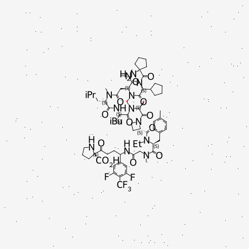 CC[C@H](C)[C@H](NC(=O)[C@H](CC(C)C)N(C)C(=O)C[C@@H](C(=O)N(C)C)N(C)C(=O)[C@H](C1CCCC1)N(C)C(=O)C1(N)CCCC1)C(=O)N(C)[C@@H](C)C(=O)N1CC[C@H]1C(=O)N(CC)[C@@H](Cc1ccc(C)cc1)C(=O)N(C)CC(=O)NC(CCC(=O)[C@]1(C(=O)O)CCCN1)c1cc(F)c(C(F)(F)F)c(F)c1